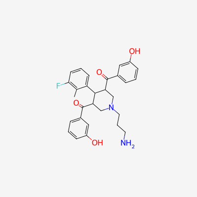 Cc1c(F)cccc1C1C(C(=O)c2cccc(O)c2)CN(CCCN)CC1C(=O)c1cccc(O)c1